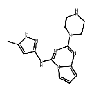 Cc1cc(Nc2nc(N3CCNCC3)nc3cccn23)n[nH]1